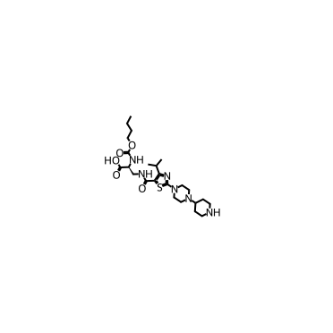 CCCCOC(=O)N[C@@H](CNC(=O)c1sc(N2CCN(C3CCNCC3)CC2)nc1C(C)C)C(=O)O